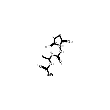 CCCC(=O)OC(C)OC(=O)ON1C(=O)CCC1=O